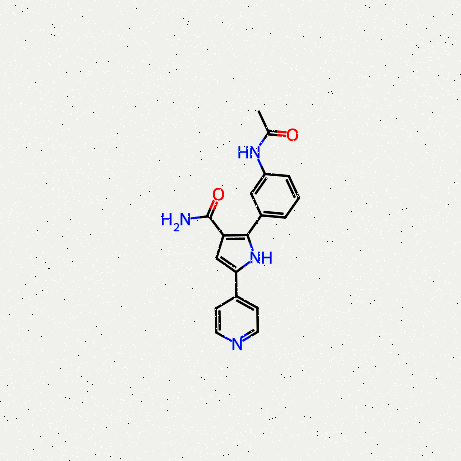 CC(=O)Nc1cccc(-c2[nH]c(-c3ccncc3)cc2C(N)=O)c1